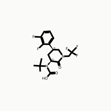 CC(C)(C)N(C(=O)O)[C@H]1C[C@@H](c2cccc(F)c2F)CN(CC(F)(F)F)C1=O